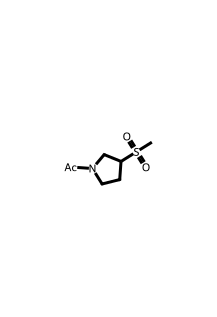 CC(=O)N1CCC(S(C)(=O)=O)C1